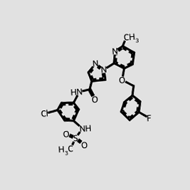 Cc1ccc(OCc2cccc(F)c2)c(-n2cc(C(=O)Nc3cc(Cl)cc(NS(C)(=O)=O)c3)cn2)n1